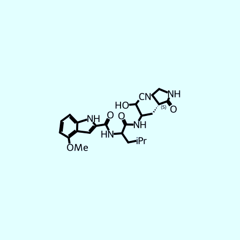 COc1cccc2[nH]c(C(=O)NC(CC(C)C)C(=O)NC(C[C@@H]3CCNC3=O)C(O)C#N)cc12